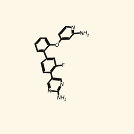 Nc1cc(Oc2ccccc2-c2ccc(-c3cnc(N)nc3)c(F)c2)ccn1